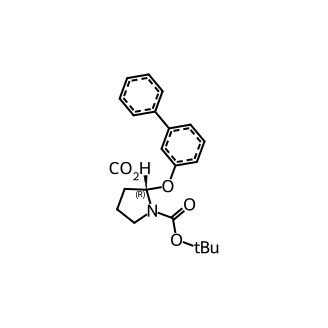 CC(C)(C)OC(=O)N1CCC[C@@]1(Oc1cccc(-c2ccccc2)c1)C(=O)O